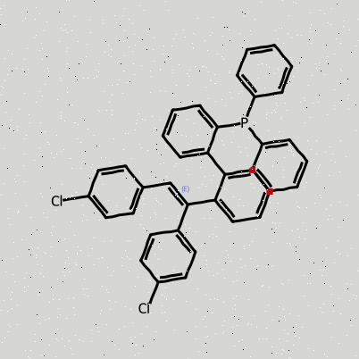 Clc1ccc(/C=C(\c2ccc(Cl)cc2)c2ccccc2-c2ccccc2P(c2ccccc2)c2ccccc2)cc1